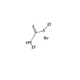 CCNC(=S)SCC.[Ru]